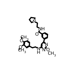 COc1nc(NCCc2ccc(OC)c(OC)c2)cc(-c2cccc(C(=O)NCCN3CCCC3)c2)n1